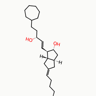 O=C(O)CCC/C=C1\C[C@@H]2C[C@@H](O)[C@H](/C=C/[C@H](O)CCC3CCCCCC3)[C@H]2C1